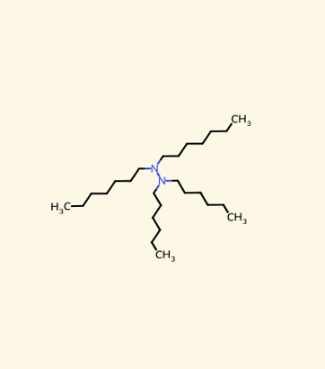 CCCCCCCN(CCCCCCC)N(CCCCCC)CCCCCC